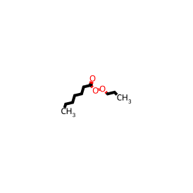 CCCCCCC(=O)OOCCC